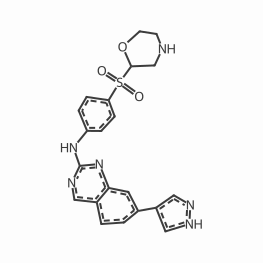 O=S(=O)(c1ccc(Nc2ncc3ccc(-c4cn[nH]c4)cc3n2)cc1)C1CNCCO1